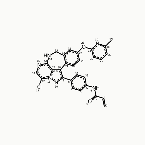 C=CC(=O)Nc1ccc(-c2nn3c(Cl)cnc4c3c2-c2ccc(Oc3cccc(C)n3)cc2CN4)cc1